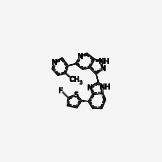 Cc1ccncc1-c1cc2c(-c3nc4c(-c5ccc(F)s5)cccc4[nH]3)n[nH]c2cn1